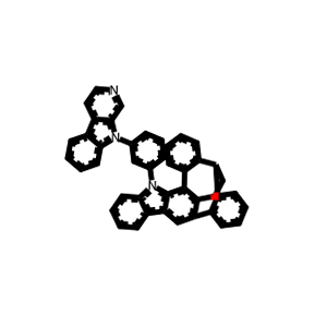 c1cc(-n2c3ccccc3c3ccncc32)cc(-n2c3ccccc3c3cc4c5c(c32)-c2ccccc2C(CC5)c2ccccc2-4)c1